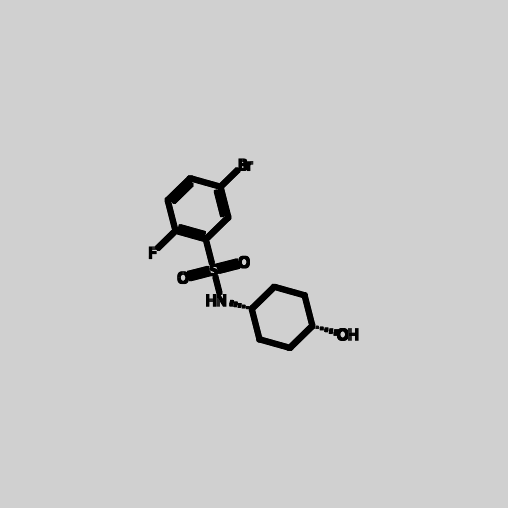 O=S(=O)(N[C@H]1CC[C@@H](O)CC1)c1cc(Br)ccc1F